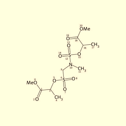 COC(=O)C(C)OS(=O)(=O)CN(C)S(=O)(=O)OC(C)C(=O)OC